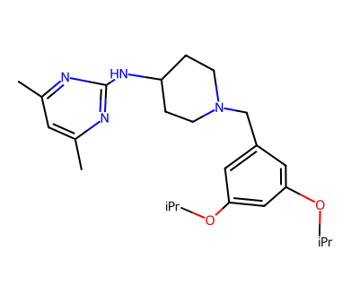 Cc1cc(C)nc(NC2CCN(Cc3cc(OC(C)C)cc(OC(C)C)c3)CC2)n1